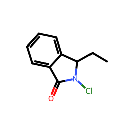 CCC1c2ccccc2C(=O)N1Cl